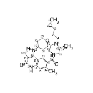 COCCCN1CCN(C(=O)c2cc3c(cc2C)[nH]c(=O)c2cnn(C4CCOCC4)c23)C[C@@H]1C